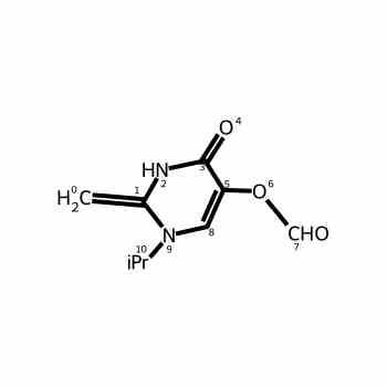 C=C1NC(=O)C(OC=O)=CN1C(C)C